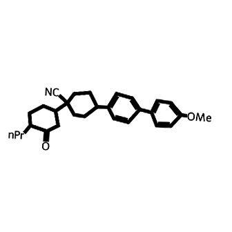 CCCC1CCC(C2(C#N)CCC(c3ccc(-c4ccc(OC)cc4)cc3)CC2)CC1=O